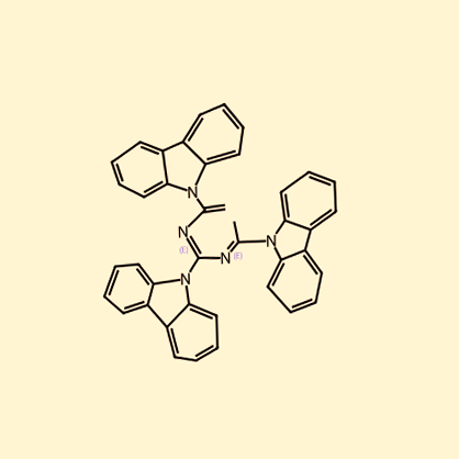 C=C(/N=C(\N=C(/C)n1c2ccccc2c2ccccc21)n1c2ccccc2c2ccccc21)n1c2ccccc2c2ccccc21